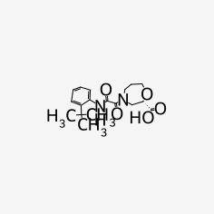 CC(C)(C)c1ccccc1NC(=O)C(=O)N1CCCO[C@H](C(=O)O)C1